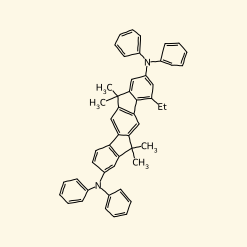 CCc1cc(N(c2ccccc2)c2ccccc2)cc2c1-c1cc3c(cc1C2(C)C)-c1ccc(N(c2ccccc2)c2ccccc2)cc1C3(C)C